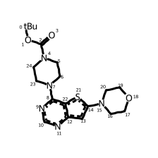 CC(C)(C)OC(=O)N1CCN(c2ncnc3cc(N4CCOCC4)sc23)CC1